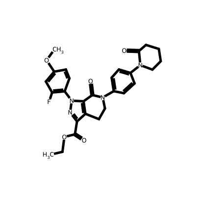 CCOC(=O)c1nn(-c2ccc(OC)cc2F)c2c1CCN(c1ccc(N3CCCCC3=O)cc1)C2=O